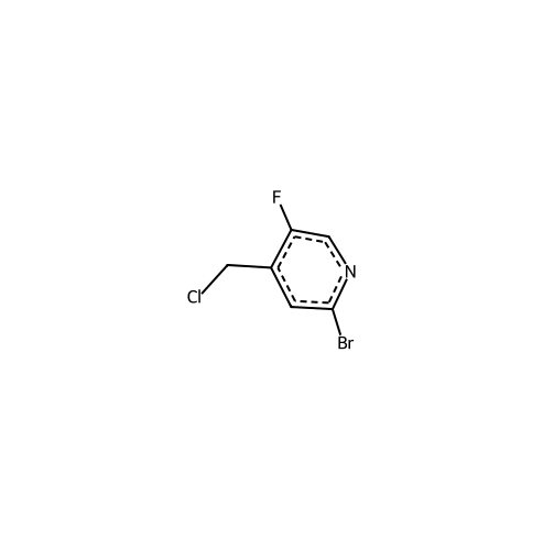 Fc1cnc(Br)cc1CCl